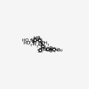 CCC(C)c1ccc(S(=O)(=O)c2ccc(Oc3ccc(C(C)(C)c4ccc(O)c(-c5ccc(S(=O)(=O)O)c(S(=O)(=O)O)c5)c4)cc3-c3ccccc3)cc2)cc1